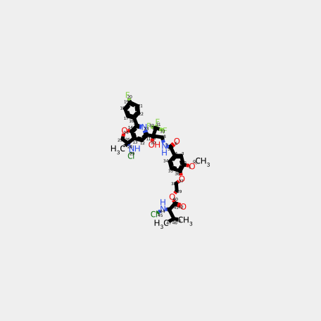 COc1cc(C(=O)NCC(O)(c2cc3c(c(-c4ccc(F)cc4)n2)OCC3(C)NCl)C(F)(F)F)ccc1OCCOC(=O)C(NCl)C(C)C